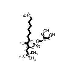 CCCCCCCCCCCCCCCCCC(=O)C(C[N+](C)(C)C)OP(=O)([O-])OC[C@@H](CO)OO